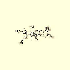 Cl.Nc1nc(C(=NOCCO)C(=O)NC2C(=O)N3C(C(=O)O)=C(CSc4nnnn4CCO)CS[C@@H]23)cs1